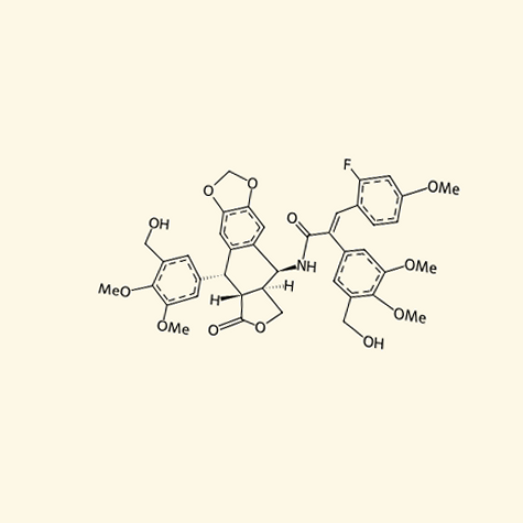 COc1ccc(/C=C(/C(=O)N[C@@H]2c3cc4c(cc3[C@@H](c3cc(CO)c(OC)c(OC)c3)[C@H]3C(=O)OC[C@@H]32)OCO4)c2cc(CO)c(OC)c(OC)c2)c(F)c1